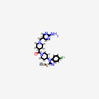 CCC(C)Sc1nc2cc(F)ccc2n1C1CCN(C(=O)C2CCN(Cc3cnc(N)nc3)CC2)CC1